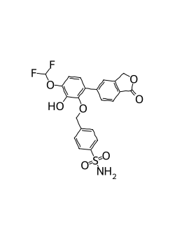 NS(=O)(=O)c1ccc(COc2c(-c3ccc4c(c3)COC4=O)ccc(OC(F)F)c2O)cc1